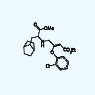 CCOC(=O)C=C(CNC(CC1C2CCC1CC2)C(=O)OC)Oc1ccccc1Cl